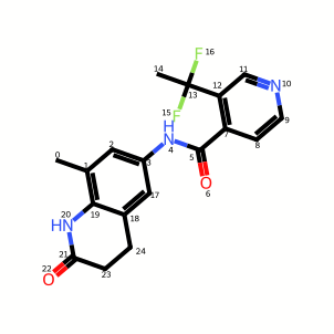 Cc1cc(NC(=O)c2ccncc2C(C)(F)F)cc2c1NC(=O)CC2